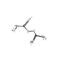 CNC(=O)OSC(=N)N